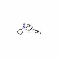 C=C(/C=C\C=C/C)NC1C=CC=CC1